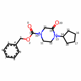 O=C(OCc1ccccc1)N1CCN(C2CCCC2)C(=O)C1